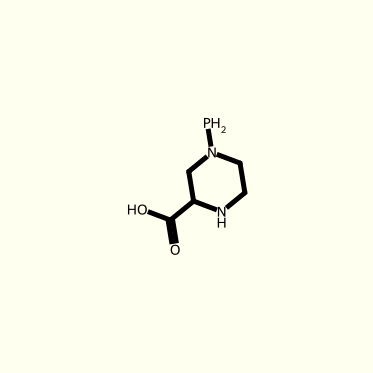 O=C(O)C1CN(P)CCN1